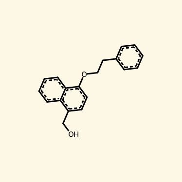 OCc1ccc(OCCc2ccccc2)c2ccccc12